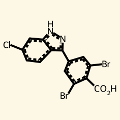 O=C(O)c1c(Br)cc(-c2n[nH]c3cc(Cl)ccc23)cc1Br